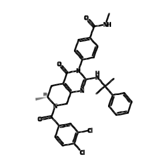 CNC(=O)c1ccc(-n2c(NC(C)(C)c3ccccc3)nc3c(c2=O)C[C@@H](C)N(C(=O)c2ccc(Cl)c(Cl)c2)C3)cc1